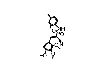 COc1ccc(/C=C(\C#N)S(=O)(=O)Nc2ccc(C)cc2C)c(OC)c1OC